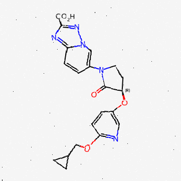 O=C(O)c1nc2ccc(N3CC[C@@H](Oc4ccc(OCC5CC5)nc4)C3=O)cn2n1